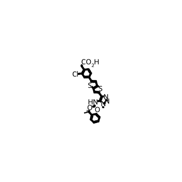 C[C@@H](OC(=O)Nc1c(-c2cc3sc(-c4ccc(CC(=O)O)c(Cl)c4)cc3s2)nnn1C)c1ccccc1